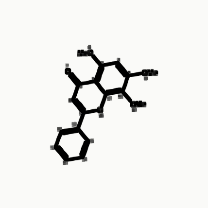 COc1cc(OC)c2c(=O)cc(-c3ccccc3)oc2c1OC